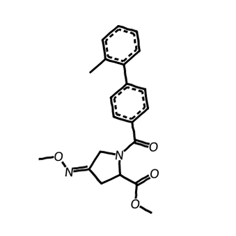 CON=C1CC(C(=O)OC)N(C(=O)c2ccc(-c3ccccc3C)cc2)C1